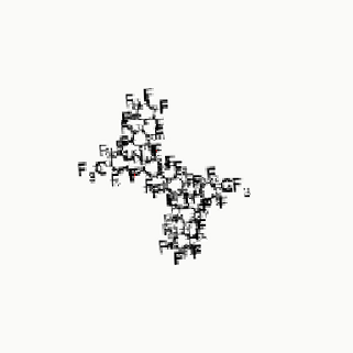 Fc1c(F)c(F)c(-c2c(F)c(F)c(N(c3c(F)c(F)c(-c4c(F)c(F)c(N(c5c(F)c(F)c(-c6c(F)c(F)c(F)c(F)c6F)c(F)c5F)c5c(F)c(F)c(C(F)(F)F)c(F)c5F)c(F)c4F)c(F)c3F)c3c(F)c(F)c(C(F)(F)F)c(F)c3F)c(F)c2F)c(F)c1F